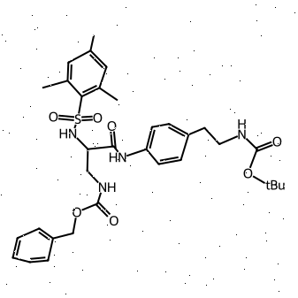 Cc1cc(C)c(S(=O)(=O)NC(CNC(=O)OCc2ccccc2)C(=O)Nc2ccc(CCNC(=O)OC(C)(C)C)cc2)c(C)c1